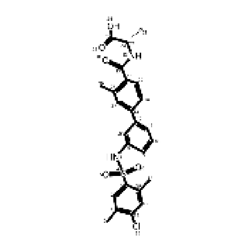 Cc1cc(S(=O)(=O)Nc2cccc(-c3ccc(C(=O)N[C@@H](C)C(=O)O)c(C)c3)c2)c(C)cc1Cl